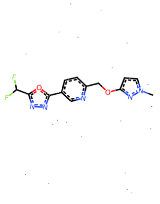 Cn1ccc(OCc2ccc(-c3nnc(C(F)F)o3)cn2)n1